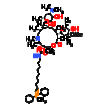 CC[C@H]1OC(=O)[C@H](C)[C@@H](C2C[C@@](C)(OC)[C@@H](O)[C@H](C)O2)[C@H](C)[C@@H](O[C@@H]2O[C@H](C)C[C@H](N(C)C)[C@H]2O)[C@](C)(O)C[C@@H](C)CN(C)[C@H](C)[C@@H](OC(=O)NCCCCCCCCCC[PH](C)(c2ccccc2)c2ccccc2)[C@]1(C)O